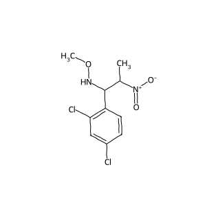 CONC(c1ccc(Cl)cc1Cl)C(C)[N+](=O)[O-]